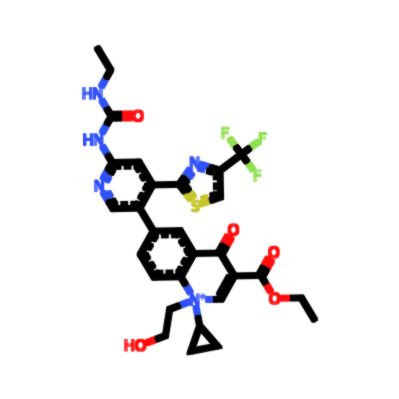 CCNC(=O)Nc1cc(-c2nc(C(F)(F)F)cs2)c(-c2ccc3c(c2)C(=O)C(C(=O)OCC)=C[N+]3(CCO)C2CC2)cn1